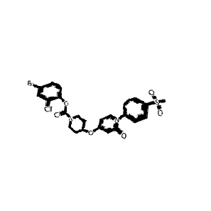 CS(=O)(=O)c1ccc(-n2ccc(OC3CCN(C(=O)Oc4ccc(Br)cc4Cl)CC3)cc2=O)cc1